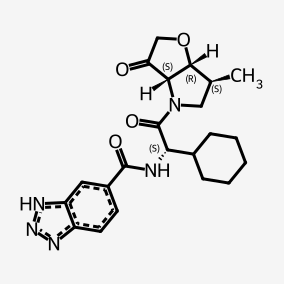 C[C@H]1CN(C(=O)[C@@H](NC(=O)c2ccc3nn[nH]c3c2)C2CCCCC2)[C@@H]2C(=O)CO[C@@H]21